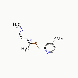 C=N/C=C\C=C(/C)SCc1cc(SC)ccn1